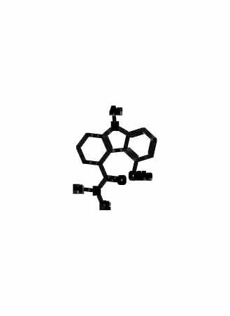 CCN(CC)C(=O)C1CCCc2c1c1c(OC)cccc1n2C(C)=O